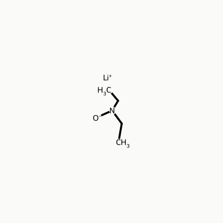 CCN([O-])CC.[Li+]